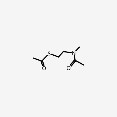 CC(=O)SCCN(C)C(C)=O